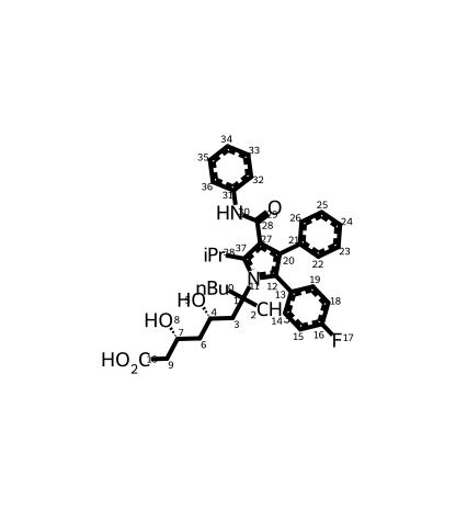 CCCCC(C)(C[C@@H](O)C[C@@H](O)CC(=O)O)n1c(-c2ccc(F)cc2)c(-c2ccccc2)c(C(=O)Nc2ccccc2)c1C(C)C